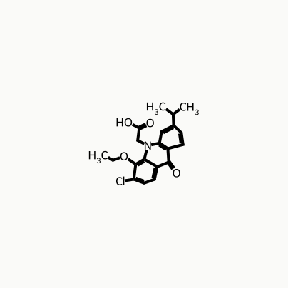 CCOc1c(Cl)ccc2c(=O)c3ccc(C(C)C)cc3n(CC(=O)O)c12